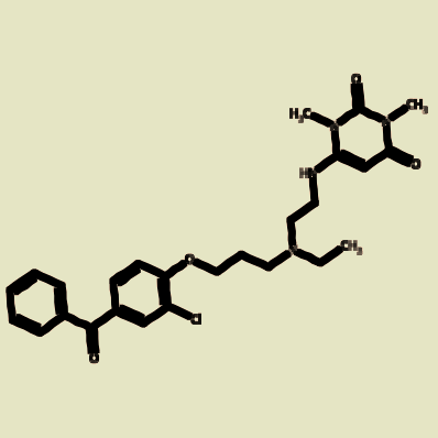 CCN(CCCOc1ccc(C(=O)c2ccccc2)cc1Cl)CCNc1cc(=O)n(C)c(=O)n1C